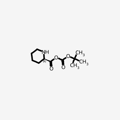 CC(C)(C)OC(=O)OC(=O)[C@H]1CCCCN1